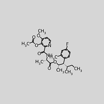 CCC(C)[C@@H](c1ccc(F)cc1C)[C@H](C)OC(=O)[C@H](C)NC(=O)c1nccc(OC)c1OC(C)=O